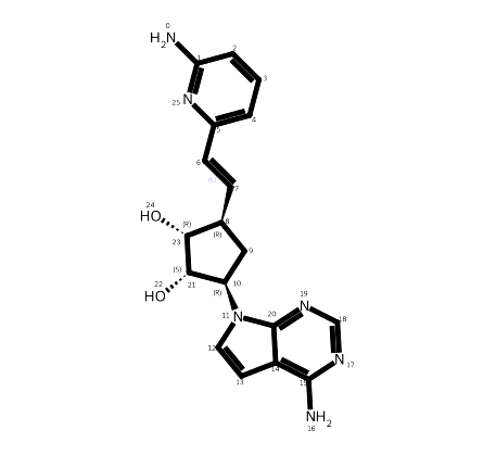 Nc1cccc(/C=C/[C@H]2C[C@@H](n3ccc4c(N)ncnc43)[C@H](O)[C@@H]2O)n1